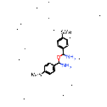 CSc1ccc(C(N)OC(N)c2ccc(SC)cc2)cc1